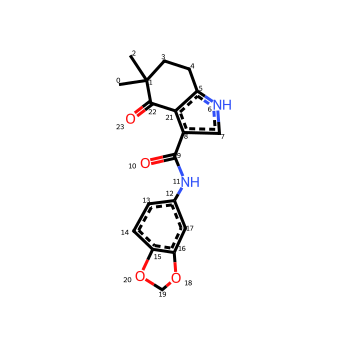 CC1(C)CCc2[nH]cc(C(=O)Nc3ccc4c(c3)OCO4)c2C1=O